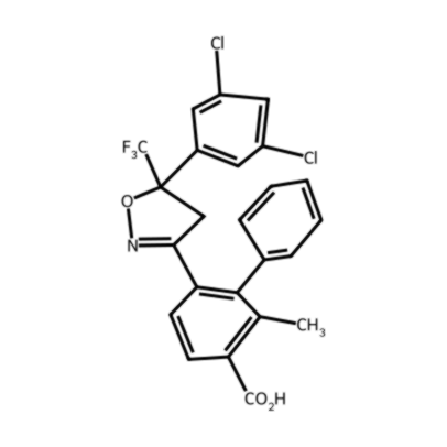 Cc1c(C(=O)O)ccc(C2=NOC(c3cc(Cl)cc(Cl)c3)(C(F)(F)F)C2)c1-c1ccccc1